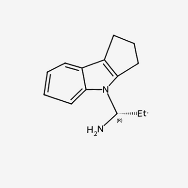 C[CH][C@H](N)n1c2c(c3ccccc31)CCC2